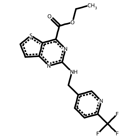 CCOC(=O)c1nc(NCc2ccc(C(F)(F)F)nc2)nc2ccsc12